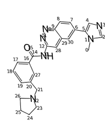 Cn1cncc1-c1ccc2nnc(NC(=O)c3cccc(CN4CCCC4)c3)cc2c1